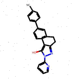 N#Cc1ccc(-c2ccc3c(c2)CCc2nn(-c4ccccn4)c(O)c2-3)cc1